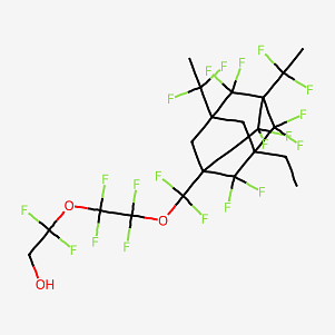 CCC12CC3(C(C)(F)F)CC(C(F)(F)OC(F)(F)C(F)(F)OC(F)(F)CO)(C1(F)F)C(F)(F)C(C(C)(F)F)(C3(F)F)C2(F)F